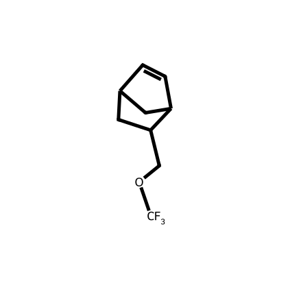 FC(F)(F)OCC1CC2C=CC1C2